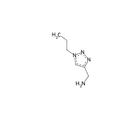 [CH2]CCn1cc(CN)nn1